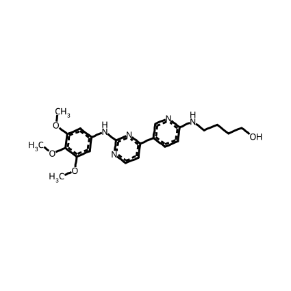 COc1cc(Nc2nccc(-c3ccc(NCCCCO)nc3)n2)cc(OC)c1OC